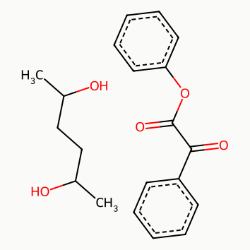 CC(O)CCC(C)O.O=C(Oc1ccccc1)C(=O)c1ccccc1